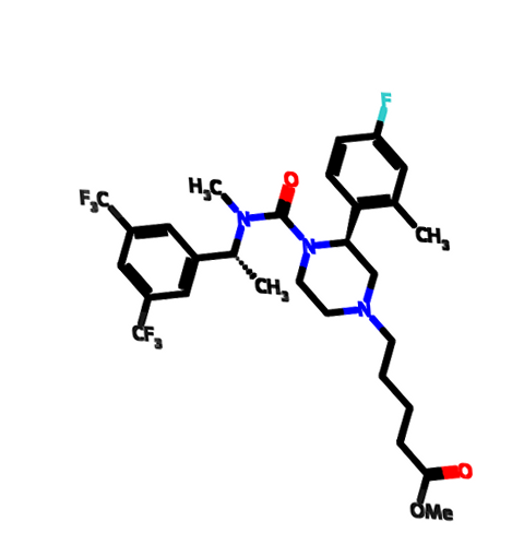 COC(=O)CCCCN1CCN(C(=O)N(C)[C@H](C)c2cc(C(F)(F)F)cc(C(F)(F)F)c2)[C@@H](c2ccc(F)cc2C)C1